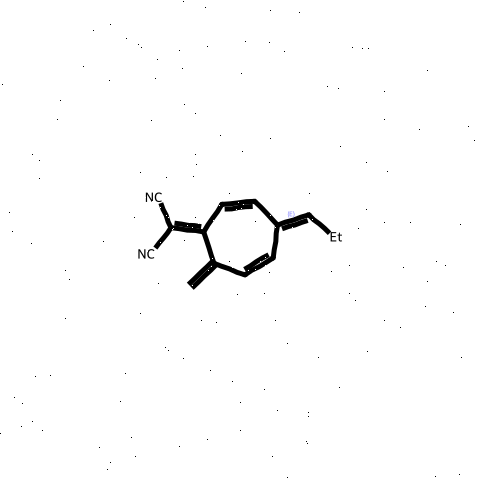 C=C1C=C/C(=C\CC)C=CC1=C(C#N)C#N